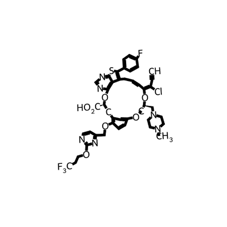 C#C/C(Cl)=C1\C=C/Cc2c(-c3ccc(F)cc3)sc3ncnc(c23)O[C@@H](C(=O)O)Cc2cc(ccc2OCc2ccnc(OCCC(F)(F)F)n2)OC[C@H](CN2CCN(C)CC2)O1